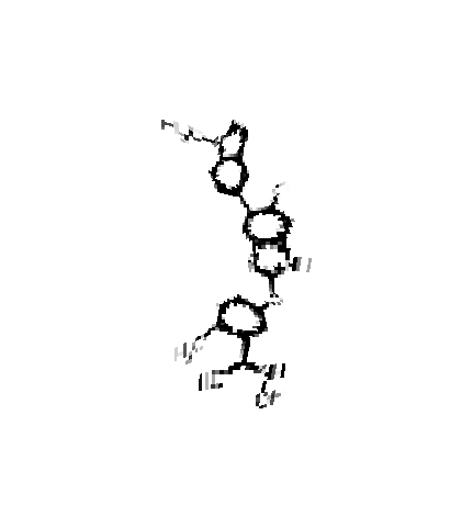 Cc1ccc(Oc2nc3cc(-c4ccc5c(ccn5C)c4)c(Cl)cc3[nH]2)cc1C(O)NO